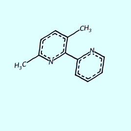 Cc1ccc(C)c(-c2ccccn2)n1